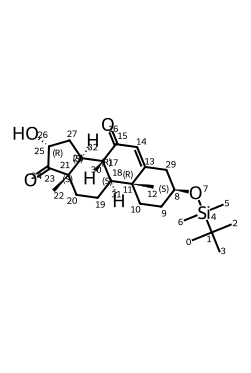 CC(C)(C)[Si](C)(C)O[C@H]1CC[C@@]2(C)C(=CC(=O)[C@@H]3[C@@H]2CC[C@]2(C)C(=O)[C@H](O)C[C@@H]32)C1